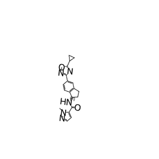 Cn1nccc1C(=O)N[C@@H]1CCc2cc(-c3noc(C4CC4)n3)ccc21